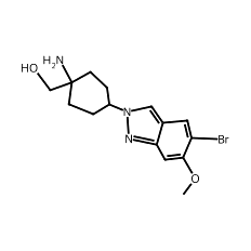 COc1cc2nn(C3CCC(N)(CO)CC3)cc2cc1Br